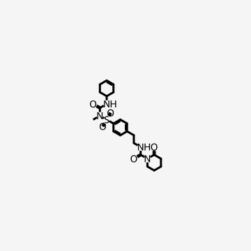 CN(C(=O)NC1CC=CCC1)S(=O)(=O)c1ccc(CCNC(=O)N2CCCCC2=O)cc1